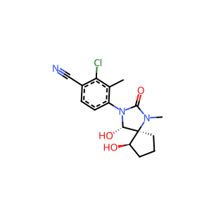 Cc1c(N2C(=O)N(C)[C@]3(CCC[C@H]3O)[C@@H]2O)ccc(C#N)c1Cl